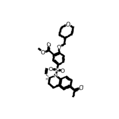 C=C[C@H]1CCc2cc(C(C)=O)ccc2N1S(=O)(=O)c1ccc(OCC2CCOCC2)c(C(=O)OC)c1